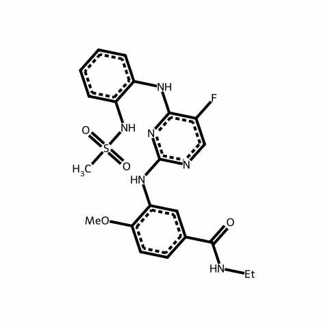 CCNC(=O)c1ccc(OC)c(Nc2ncc(F)c(Nc3ccccc3NS(C)(=O)=O)n2)c1